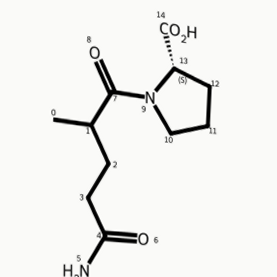 CC(CCC(N)=O)C(=O)N1CCC[C@H]1C(=O)O